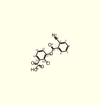 N#Cc1ccccc1C(=O)Oc1cccc(S(=O)(=O)O)c1Cl